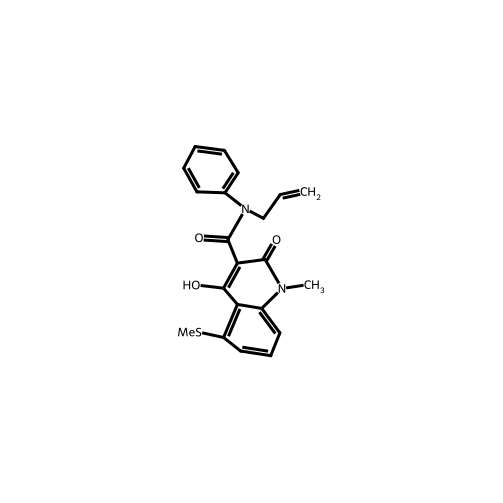 C=CCN(C(=O)c1c(O)c2c(SC)cccc2n(C)c1=O)c1ccccc1